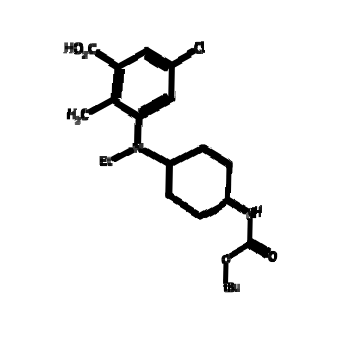 CCN(c1cc(Cl)cc(C(=O)O)c1C)C1CCC(NC(=O)OC(C)(C)C)CC1